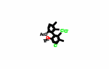 CC(=O)Oc1ccc(C)c(C)c1-c1c([O][Ti+3])ccc(C)c1C.[Cl-].[Cl-].[Cl-]